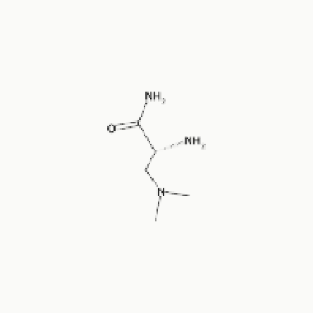 CN(C)C[C@@H](N)C(N)=O